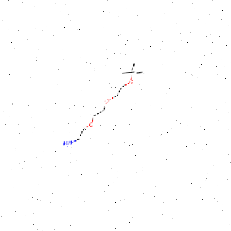 CC(C)(C)OCCOCCOCCN